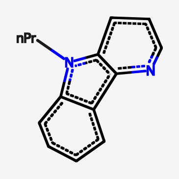 CCCn1c2ccccc2c2ncccc21